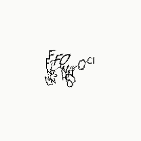 O=C(NC[C@H](c1ccc(Cl)cc1)N1CCOCC1)c1sc(-c2ncccn2)nc1C(F)(F)F